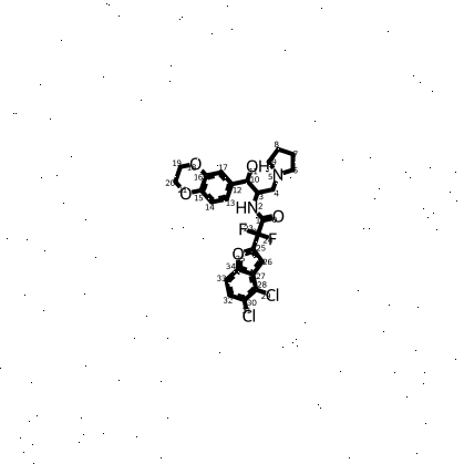 O=C(NC(CN1CCCC1)C(O)c1ccc2c(c1)OCCO2)C(F)(F)c1cc2c(Cl)c(Cl)ccc2o1